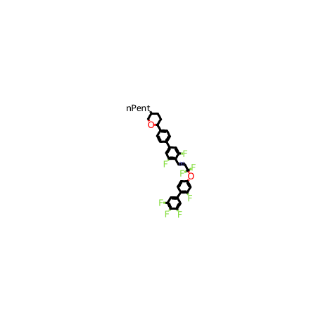 CCCCCC1CCC(c2ccc(-c3cc(F)c(/C=C/C(F)(F)Oc4ccc(-c5cc(F)c(F)c(F)c5)c(F)c4)c(F)c3)cc2)OC1